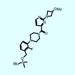 COC1CN(c2nccc(C(=O)N3CCN(c4cccc(CO[Si](C)(C)C(C)(C)C)c4F)CC3)n2)C1